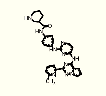 Cc1cccc(-c2nc(Nc3ccnc(Nc4ccc(NC(=O)C5CCCNC5)cc4)n3)c3cccn3n2)n1